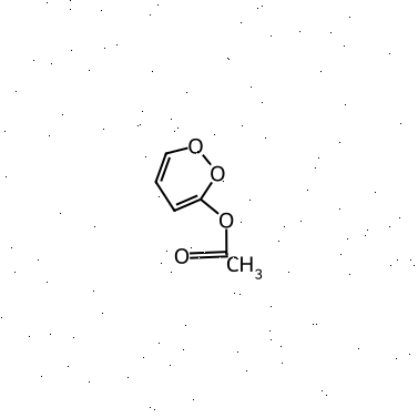 CC(=O)OC1=CC=COO1